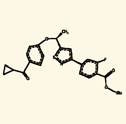 C[C@H](Oc1ccc(C(=O)C2CC2)cc1)c1cc(-c2ccc(C(=O)OC(C)(C)C)c(F)c2)ns1